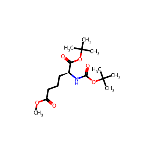 COC(=O)CCC[C@H](NC(=O)OC(C)(C)C)C(=O)OC(C)(C)C